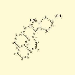 Cc1cnc2c(c1)[nH]c1cc3ccc4cccc5ccc(c12)c3c45